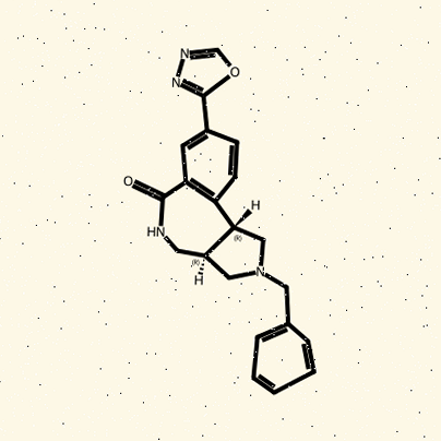 O=C1NC[C@@H]2CN(Cc3ccccc3)C[C@H]2c2ccc(-c3nnco3)cc21